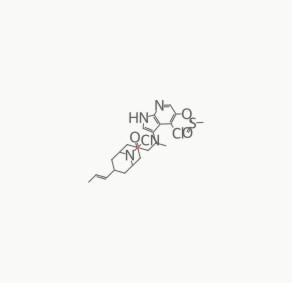 CC=CC1CC2CC(C#N)CC(C1)N2C(=O)CC(C)c1c[nH]c2ncc(OS(C)=O)c(Cl)c12